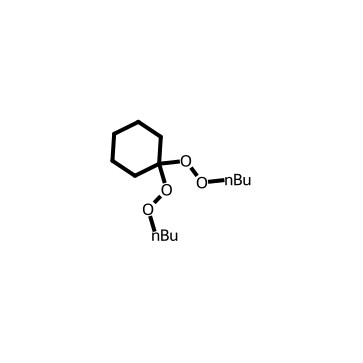 CCCCOOC1(OOCCCC)CCCCC1